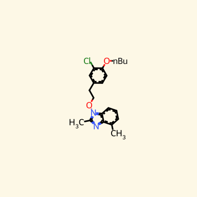 CCCCOc1ccc(CCOn2c(C)nc3c(C)cccc32)cc1Cl